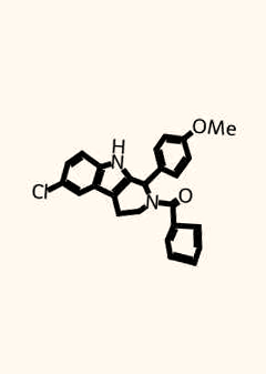 COc1ccc(C2c3[nH]c4ccc(Cl)cc4c3CCN2C(=O)c2ccccc2)cc1